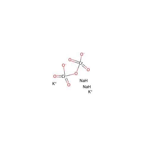 [K+].[K+].[NaH].[NaH].[O]=[Cr](=[O])([O-])[O][Cr](=[O])(=[O])[O-]